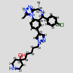 Cc1nnc2n1-c1ccc(-c3cnn(CCCCCC4(O)CCNCC4)c3)cc1C(c1ccc(Cl)cc1)=N[C@H]2C